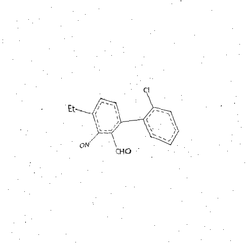 CCc1ccc(-c2ccccc2Cl)c(C=O)c1N=O